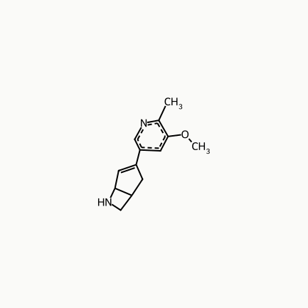 COc1cc(C2=CC3NCC3C2)cnc1C